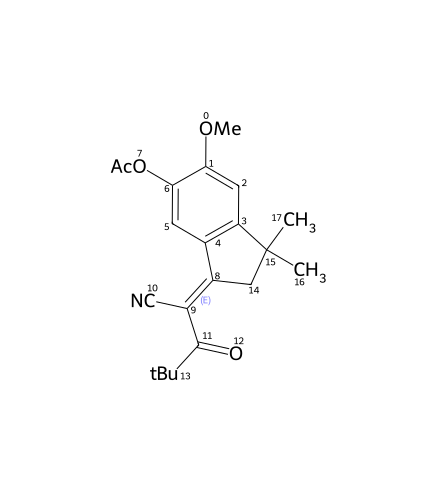 COc1cc2c(cc1OC(C)=O)/C(=C(\C#N)C(=O)C(C)(C)C)CC2(C)C